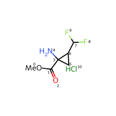 COC(=O)C1(N)CC1C(F)F.Cl